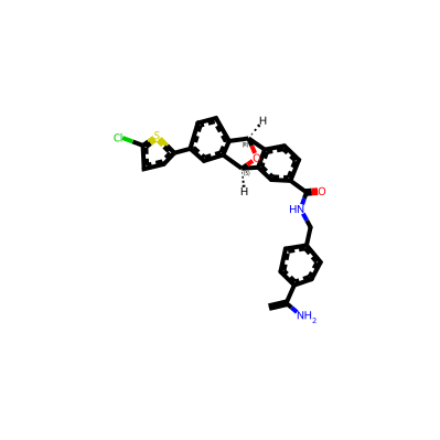 C=C(N)c1ccc(CNC(=O)c2ccc3c(c2)[C@@H]2O[C@H]3c3ccc(-c4ccc(Cl)s4)cc32)cc1